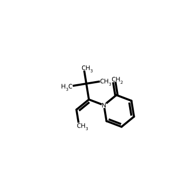 C=C1C=CC=CN1/C(=C\C)C(C)(C)C